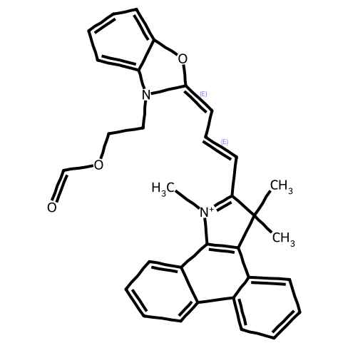 C[N+]1=C(/C=C/C=C2/Oc3ccccc3N2CCOC=O)C(C)(C)c2c1c1ccccc1c1ccccc21